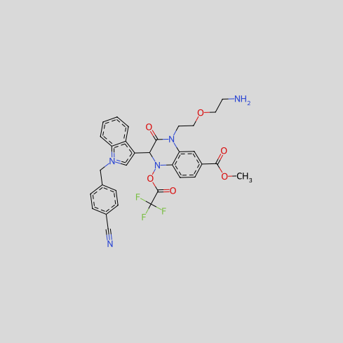 COC(=O)c1ccc2c(c1)N(CCOCCN)C(=O)C(c1cn(Cc3ccc(C#N)cc3)c3ccccc13)N2OC(=O)C(F)(F)F